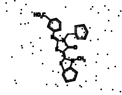 CN1C(=C2SC(=Nc3cccc(C(=O)O)c3)N(Cc3ccccc3)C2=O)Sc2ccccc21